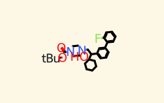 CC(C)(C)OC(=O)N1CCN(CC(c2cccc(-c3ccccc3F)c2)C2(O)CCCCC2)CC1